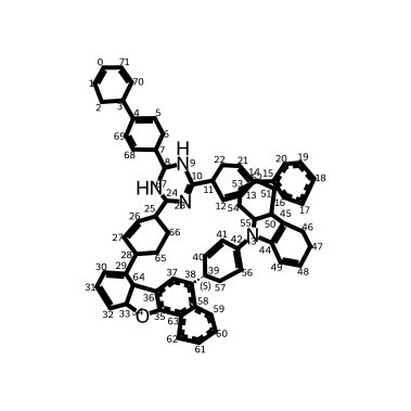 C1=CCC(C2=CCC(C3NC(C4C=CC(c5ccccc5)=CC4)=NC(C4C=CC(C5=CC=CC6Oc7c(cc([C@@H]8C=CC(N9C%10=C(CCC=C%10)C%10CCCCC%109)=CC8)c8ccccc78)C56)CC4)N3)C=C2)C=C1